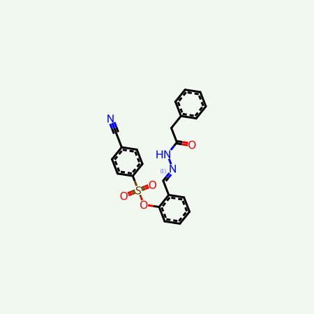 N#Cc1ccc(S(=O)(=O)Oc2ccccc2/C=N/NC(=O)Cc2ccccc2)cc1